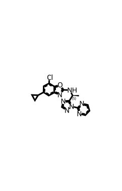 C[C@H](Nc1nc2cc(C3CC3)cc(Cl)c2o1)c1ncnn1-c1ncccn1